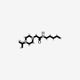 CCCCCNC(=O)CN1CCN(C(C)C)CC1